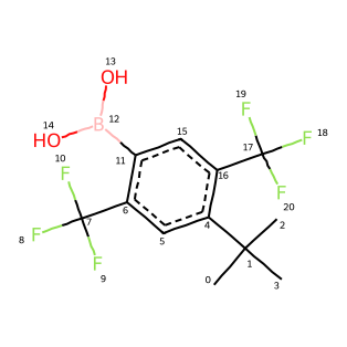 CC(C)(C)c1cc(C(F)(F)F)c(B(O)O)cc1C(F)(F)F